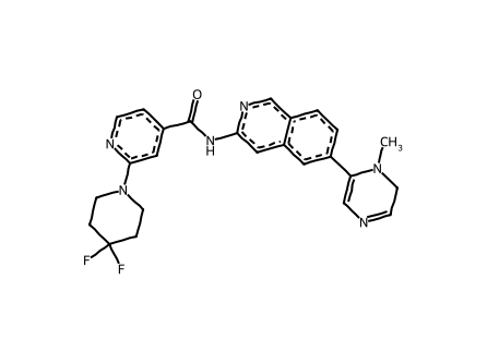 CN1CC=NC=C1c1ccc2cnc(NC(=O)c3ccnc(N4CCC(F)(F)CC4)c3)cc2c1